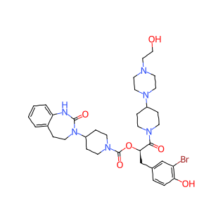 O=C(O[C@H](Cc1ccc(O)c(Br)c1)C(=O)N1CCC(N2CCN(CCO)CC2)CC1)N1CCC(N2CCc3ccccc3NC2=O)CC1